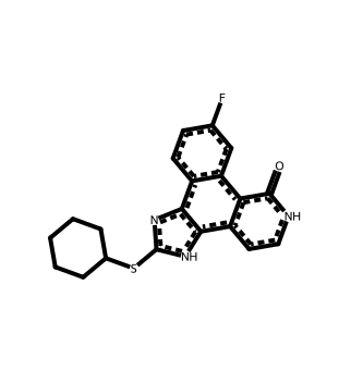 O=c1[nH]ccc2c3[nH]c(SC4CCCCC4)nc3c3ccc(F)cc3c12